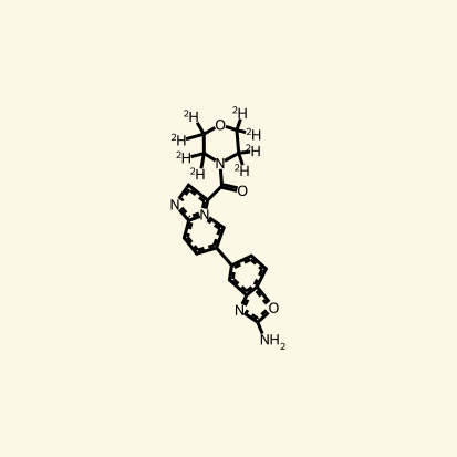 [2H]C1([2H])OC([2H])([2H])C([2H])([2H])N(C(=O)c2cnc3ccc(-c4ccc5oc(N)nc5c4)cn23)C1([2H])[2H]